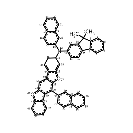 CC1(C)c2ccccc2-c2ccc(N(c3ccc4ccccc4c3)C3C=c4oc5c(-c6ccc7ccccc7c6)c6c(cc5c4=CC3)oc3ccccc36)cc21